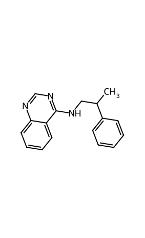 CC(CNc1ncnc2ccccc12)c1ccccc1